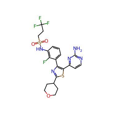 Nc1nccc(-c2sc(C3CCOCC3)nc2-c2cccc(NS(=O)(=O)CCC(F)(F)F)c2F)n1